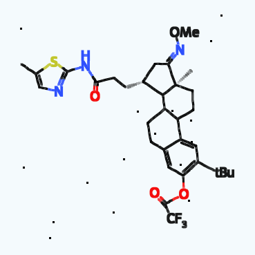 CON=C1C[C@@H](CCC(=O)Nc2ncc(C)s2)C2C3CCc4cc(OC(=O)C(F)(F)F)c(C(C)(C)C)cc4C3CC[C@]12C